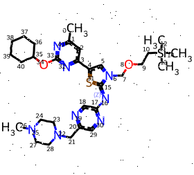 Cc1cc(-c2cn(COCC[Si](C)(C)C)/c(=N/c3cnc(CN4CCN(C)CC4)cn3)s2)nc(OC2CCCCC2)n1